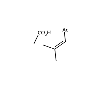 CC(=O)C=C(C)C.CC(=O)O